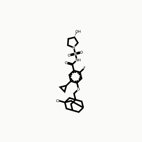 O=C(NS(=O)(=O)N1CC[C@H](O)C1)c1cc(C2CC2)c(OCC23CC4CC(CC(Cl)(C4)C2)C3)cc1F